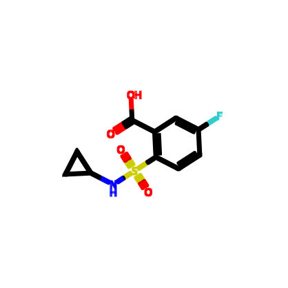 O=C(O)c1cc(F)ccc1S(=O)(=O)NC1CC1